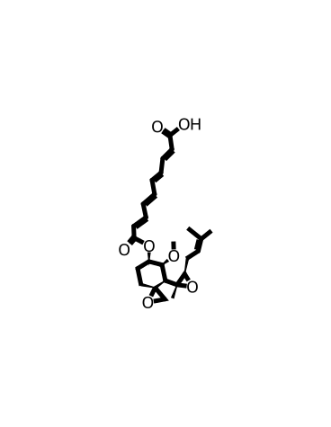 CO[C@H]1[C@@H]([C@@]2(C)O[C@@H]2CC=C(C)C)[C@]2(CC[C@H]1OC(=O)/C=C/C=C/C=C/C=C/C(=O)O)CO2